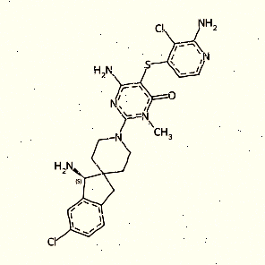 Cn1c(N2CCC3(CC2)Cc2ccc(Cl)cc2[C@H]3N)nc(N)c(Sc2ccnc(N)c2Cl)c1=O